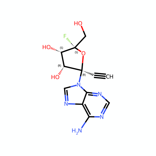 C#C[C@@]1(n2cnc3c(N)ncnc32)O[C@](F)(CO)[C@@H](O)[C@H]1O